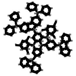 Cc1cc(C)c(N2c3cc(-n4c5ccccc5c5ccccc54)ccc3B3c4ccc(-n5c6ccccc6c6ccccc65)cc4N(c4c(C)cc(C)cc4C)c4cc(-n5c6ccc(N(c7ccccc7)c7ccccc7)cc6c6cc(N(c7ccccc7)c7ccccc7)ccc65)cc2c43)c(C)c1